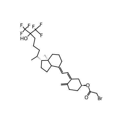 C=C1CC[C@H](OC(=O)CBr)C/C1=C/C=C1\CCC[C@@]2(C)C1CC[C@@H]2C(C)CCCC(O)(C(F)(F)F)C(F)(F)F